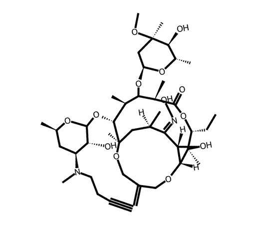 C#CCCN(C)[C@H]1C[C@@H](C)OC(O[C@@H]2[C@@H](C)C(O[C@H]3C[C@@](C)(OC)[C@@H](O)[C@H](C)O3)[C@@H](C)C(=O)O[C@H](CC)[C@@](C)(O)[C@@H]3OCC(=C)CO[C@]2(C)C[C@@H](C)/C(=N\O)[C@@H]3C)[C@@H]1O